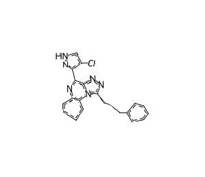 Clc1c[nH]nc1-c1nc2ccccc2n2c(CCCc3ccccc3)nnc12